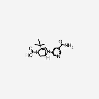 CC(C)(C)[C@]12C[C@@H](CN1C(=O)O)N(c1cncc(C(N)=O)c1)C2